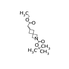 CCOC(=O)C=C1CC2(C1)CN(C(=O)OC(C)(C)C)C2